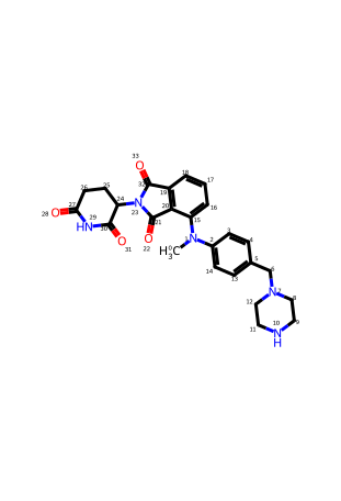 CN(c1ccc(CN2CCNCC2)cc1)c1cccc2c1C(=O)N(C1CCC(=O)NC1=O)C2=O